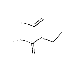 C=CF.CCCC(=O)O